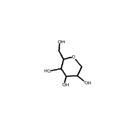 OCC1OCC(O)C(O)C1O